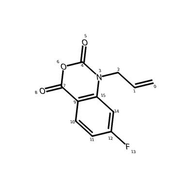 C=CCn1c(=O)oc(=O)c2ccc(F)cc21